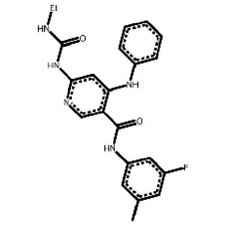 CCNC(=O)Nc1cc(Nc2ccccc2)c(C(=O)Nc2cc(C)cc(F)c2)cn1